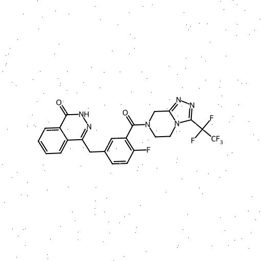 O=C(c1cc(Cc2n[nH]c(=O)c3ccccc23)ccc1F)N1CCn2c(nnc2C(F)(F)C(F)(F)F)C1